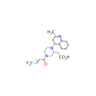 Cc1cc(N2CCN(C(=O)/C=C/C(F)(F)F)CC2CC(=O)O)c2ccccc2n1